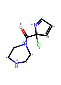 O=C(N1CCNCC1)C1(Cl)C=CC=N1